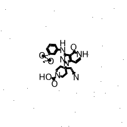 CS(=O)(=O)c1cccc(Nc2nn(C3(CC#N)CCN(C(=O)O)CC3)c3cc[nH]c(=O)c23)c1